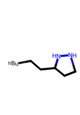 CCCCCCC1CCNN1